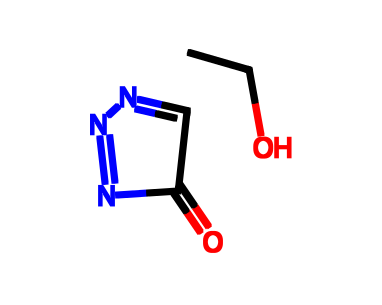 CCO.O=C1C=NN=N1